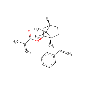 C=C(C)C(=O)O[C@H]1C[C@@H]2CC[C@@]1(C)C2(C)C.C=Cc1ccccc1